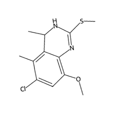 COc1cc(Cl)c(C)c2c1N=C(SC)NC2C